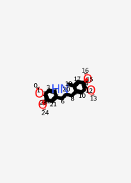 COc1ccc(CC2Cc3cc(OC)c(OC)cc3CN2)cc1OC